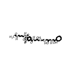 CC(=O)NCCCCNS(=O)(=O)c1ccc(C(=O)NCC(O)COCCOCC(O)CNCC(O)C2CCCCCCC2)cc1[N+](=O)[O-]